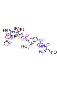 CCCCCCN(C(=O)[C@@H](NC(=O)[C@H]1CCCCN1C)[C@@H](C)CC)[C@H](C[C@@H](OCC)c1nc(C(=O)N[C@@H](Cc2ccc(NC(=O)CNC(=O)C(N)CCC(=O)O)cc2)CC(C)(C)C(=O)O)cs1)C(C)C